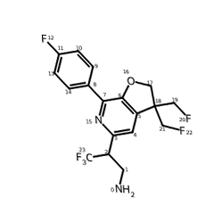 NCC(c1cc2c(c(-c3ccc(F)cc3)n1)OCC2(CF)CF)C(F)(F)F